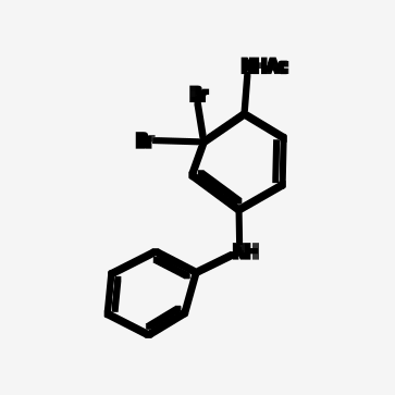 CC(=O)NC1C=CC(Nc2ccccc2)=CC1(Br)Br